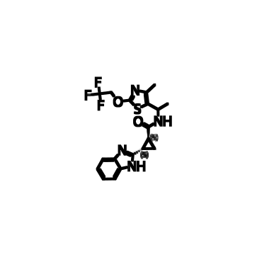 Cc1nc(OCC(F)(F)F)sc1C(C)NC(=O)[C@H]1C[C@@H]1c1nc2ccccc2[nH]1